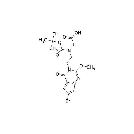 COc1nn2cc(Br)cc2c(=O)n1CCN(CC(=O)O)C(=O)OC(C)(C)C